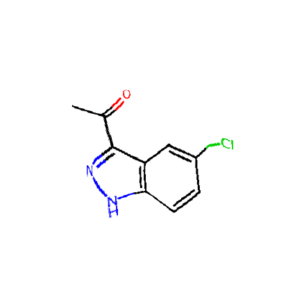 CC(=O)c1n[nH]c2ccc(Cl)cc12